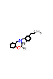 C/C=C/c1ccc(CC)c(CN2Cc3ccccc3O[C@H](CC)C2)c1